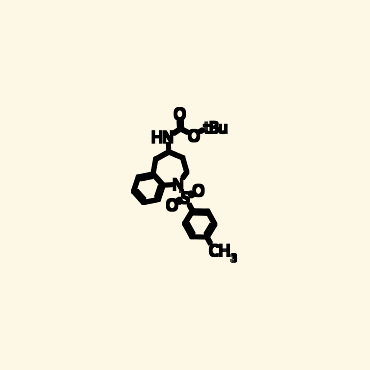 Cc1ccc(S(=O)(=O)N2CCC(NC(=O)OC(C)(C)C)Cc3ccccc32)cc1